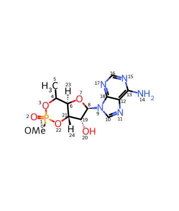 COP1(=O)OC(C)[C@H]2O[C@@H](n3cnc4c(N)ncnc43)[C@H](O)[C@@H]2O1